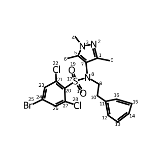 Cc1nn(C)c(C)c1N(CCc1ccccc1)S(=O)(=O)c1c(Cl)cc(Br)cc1Cl